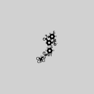 CN(C(=O)c1ccc(Sc2ccc(NC(=O)OCC(Cl)(Cl)Cl)cc2)c([N+](=O)[O-])c1)c1cccc(F)c1